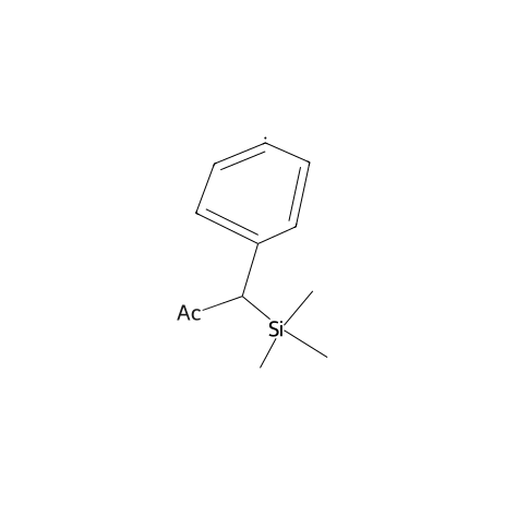 CC(=O)C(c1cc[c]cc1)[Si](C)(C)C